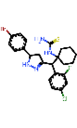 NC(=S)NC1(C(C2=NNC(c3ccc(Br)cc3)C2)c2ccc(Cl)cc2Cl)CCCCC1